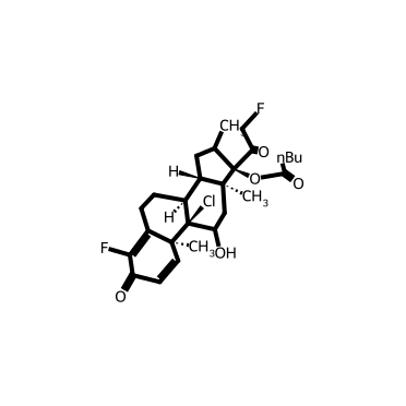 CCCCC(=O)O[C@]1(C(=O)CF)C(C)C[C@H]2[C@@H]3CCC4=C(F)C(=O)C=C[C@]4(C)[C@@]3(Cl)C(O)C[C@@]21C